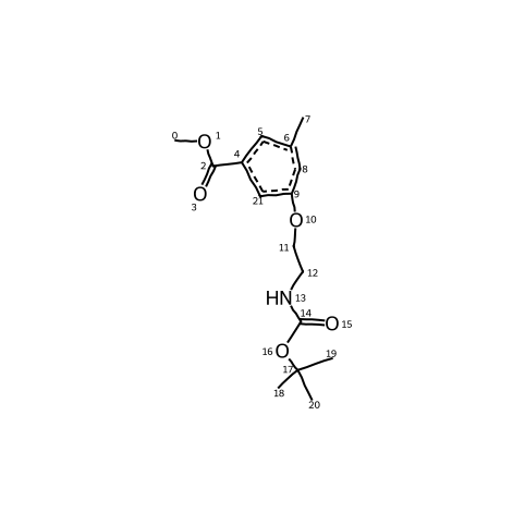 COC(=O)c1cc(C)cc(OCCNC(=O)OC(C)(C)C)c1